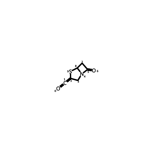 O=C=C1CN2C(=O)CC2S1